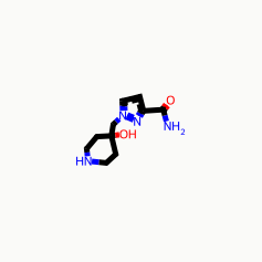 NC(=O)c1ccn(CC2(O)CCNCC2)n1